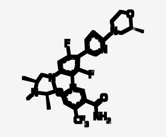 C[C@@H]1CN(c2ccc(-c3c(F)cc(N4C[C@@H](C)N(C)[C@@H](C)C4)c(-n4cc(C(N)=O)c(C(F)(F)F)cc4=O)c3F)cn2)CCO1